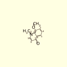 COc1cccc2c(=O)ccn(C)c12